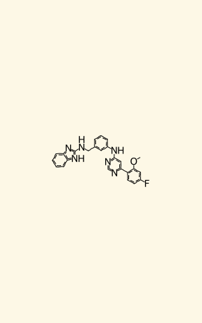 COc1cc(F)ccc1-c1cc(Nc2cccc(CNc3nc4ccccc4[nH]3)c2)ncn1